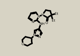 CCC1(CC)CCN(N2C=CC=NC2Nc2cnn(C3CCOCC3)c2)C1=O